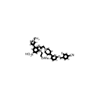 COCCn1c(CN2CCC(c3cccc(OCc4ccc(C#N)cc4F)n3)CC2)nc2c(-c3cnn(C)c3)cc(C(=O)O)cc21